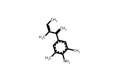 C=C(/C(C)=C\C)c1cc(C)c(N)c(C)c1